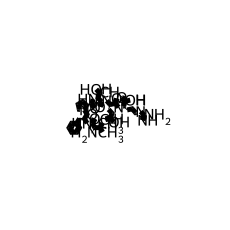 CC(C)[C@H](N)C(=O)N[C@@H](Cc1ccccc1)C(=O)N1CCC[C@H]1C(=O)N[C@H](C(=O)N[C@@H](CCC(=O)O)C(=O)N[C@@H](CCCNC(=N)N)C(=O)O)[C@@H](C)O